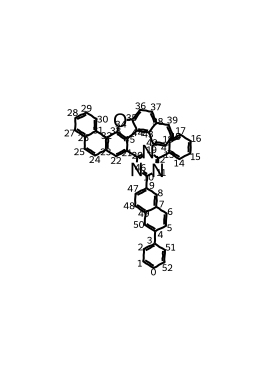 c1ccc(-c2ccc3cc(-c4nc(-c5ccccc5)nc(-c5cc6ccc7ccccc7c6c6oc7ccc8ccccc8c7c56)n4)ccc3c2)cc1